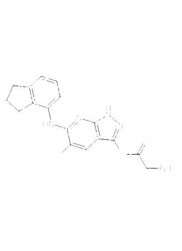 NCC(=O)Oc1n[nH]c2nc(Nc3cccc4c3CCC4)c(F)cc12